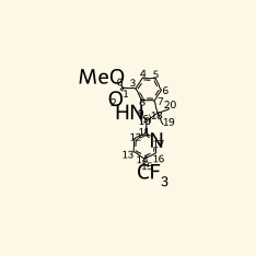 COC(=O)c1cccc2c1N[C@H](c1ccc(C(F)(F)F)cn1)C2(C)C